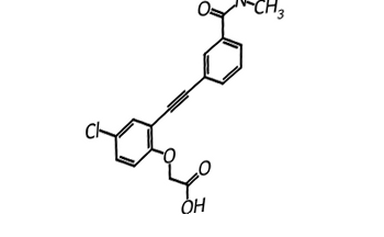 CN(C)C(=O)c1cccc(C#Cc2cc(Cl)ccc2OCC(=O)O)c1